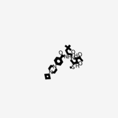 CS[C@H]1CN(C(=O)C(CC(C)(C)C)NC(=O)c2ccc(N3CCN(C4CCC4)CC3)cc2)[C@@H]2C(=O)CO[C@H]12